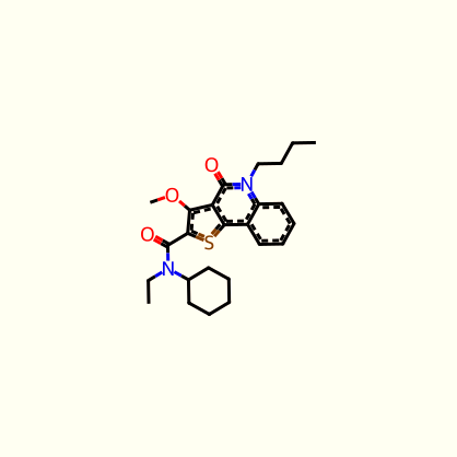 CCCCn1c(=O)c2c(OC)c(C(=O)N(CC)C3CCCCC3)sc2c2ccccc21